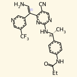 CCC(=O)Nc1ccc([C@@H](C)Nc2ncc(C#N)c(/C(=C/N)c3cncc(C(F)(F)F)c3)n2)cc1